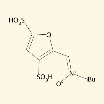 CCC(C)[N+]([O-])=Cc1oc(S(=O)(=O)O)cc1S(=O)(=O)O